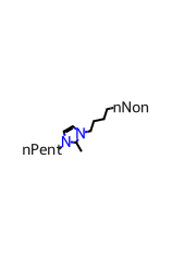 CCCCCCCCCCCCCN1C=CN(CCCCC)C1C